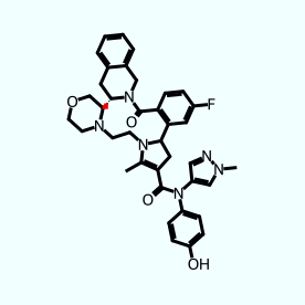 CC1=C(C(=O)N(c2ccc(O)cc2)c2cnn(C)c2)CC(c2cc(F)ccc2C(=O)N2Cc3ccccc3C[C@H]2C)N1CCN1CCOCC1